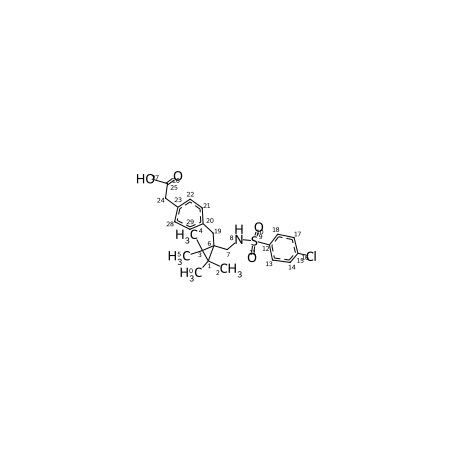 CC1(C)C(C)(C)C1(CNS(=O)(=O)c1ccc(Cl)cc1)Cc1ccc(CC(=O)O)cc1